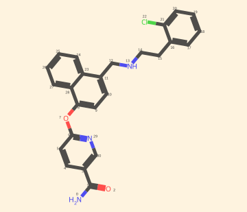 NC(=O)c1ccc(Oc2ccc(CNCCc3ccccc3Cl)c3ccccc23)nc1